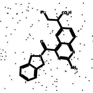 CC(C)CC(C(=O)O)c1ccc2nc(N)nc(C(=O)N3Cc4ccccc4C3)c2c1